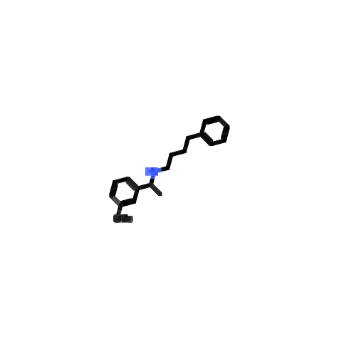 COc1cccc(C(C)NCCCCc2ccccc2)c1